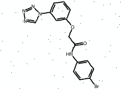 O=C(COc1cccc(-n2cnnn2)c1)Nc1ccc(Br)cc1